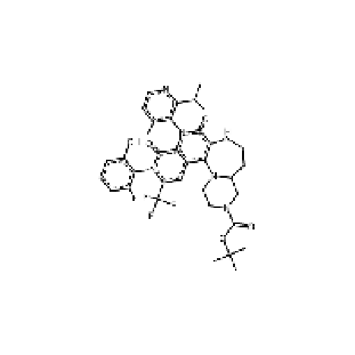 Cc1ccnc(C(C)C)c1-n1c(=O)c2c(c3cc(C(F)(F)F)n(-c4c(O)cccc4F)c(=O)c31)N1CCN(C(=O)OC(C)(C)C)CC1CCN2